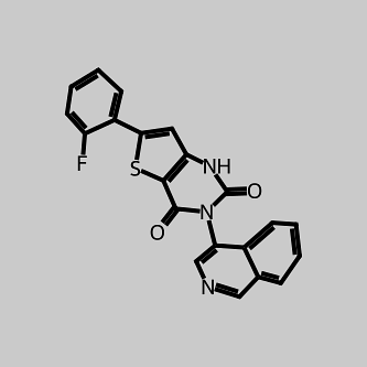 O=c1[nH]c2cc(-c3ccccc3F)sc2c(=O)n1-c1cncc2ccccc12